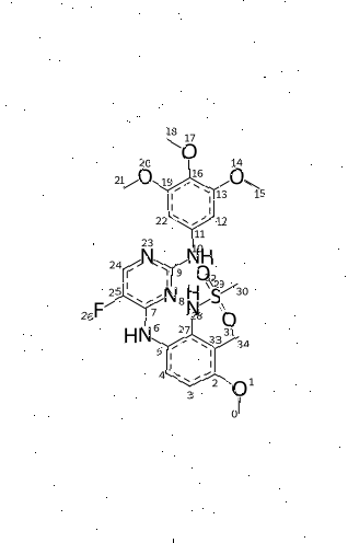 COc1ccc(Nc2nc(Nc3cc(OC)c(OC)c(OC)c3)ncc2F)c(NS(C)(=O)=O)c1C